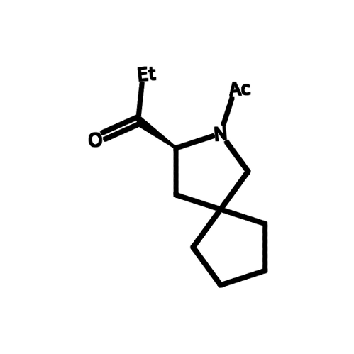 CCC(=O)[C@@H]1CC2(CCCC2)CN1C(C)=O